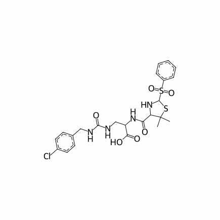 CC1(C)SC(S(=O)(=O)c2ccccc2)NC1C(=O)NC(CNC(=O)NCc1ccc(Cl)cc1)C(=O)O